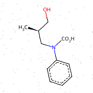 C[C@@H](CO)CN(C(=O)O)c1ccccc1